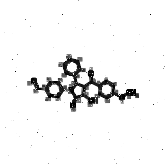 COc1ccc(C(=O)C2=C(O)C(=O)N(c3ccc(C=O)cc3)C2c2ccccc2)cc1